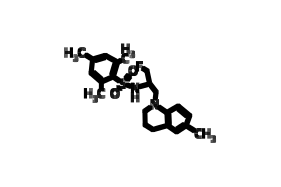 Cc1cc(C)c(S(=O)(=O)NC(CF)CN2CCCc3cc(C)ccc32)c(C)c1